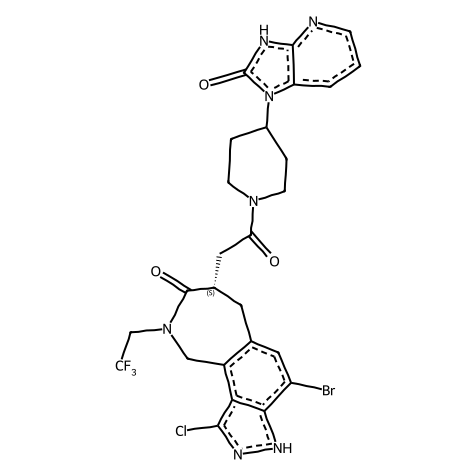 O=C(C[C@@H]1Cc2cc(Br)c3[nH]nc(Cl)c3c2CN(CC(F)(F)F)C1=O)N1CCC(n2c(=O)[nH]c3ncccc32)CC1